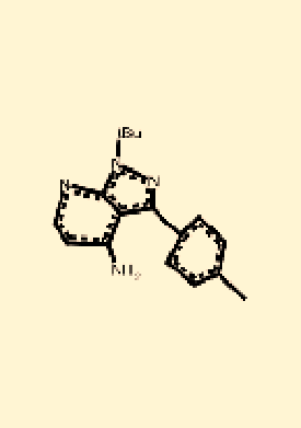 Cc1ccc(-c2nn(C(C)(C)C)c3nccc(N)c23)cc1